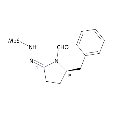 CSN/N=C1/CC[C@H](Cc2ccccc2)N1C=O